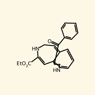 CCOC(=O)C1=CC23C(=CCN1)C=CC=C2NCC3C(=O)c1ccccc1